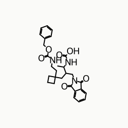 CC(NC(=O)O)C(CN1C(=O)c2ccccc2C1=O)CC1(CCNC(=O)OCc2ccccc2)CCC1